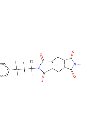 CCC(C)(N1C(=O)C2CC3C(=O)N(C)C(=O)C3CC2C1=O)C(C)(C)C(C)(C)c1ccccc1